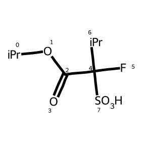 CC(C)OC(=O)C(F)(C(C)C)S(=O)(=O)O